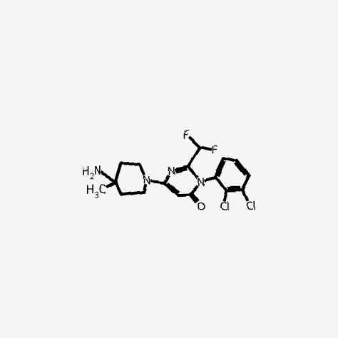 CC1(N)CCN(c2cc(=O)n(-c3cccc(Cl)c3Cl)c(C(F)F)n2)CC1